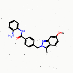 COc1ccc2c(C)n(Cc3ccc(C(=O)Nc4ccccc4N)cc3)nc2c1